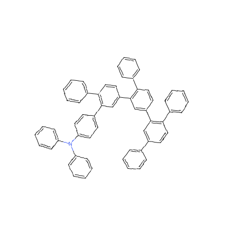 c1ccc(-c2ccc(-c3ccccc3)c(-c3ccc(-c4ccccc4)c(-c4ccc(-c5ccccc5)c(-c5ccc(N(c6ccccc6)c6ccccc6)cc5)c4)c3)c2)cc1